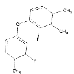 CC1C=CC(OC2=C(F)C(C)C(C)C=C2)=CC1F